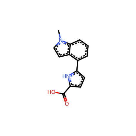 Cn1ccc2c(-c3ccc(C(=O)O)[nH]3)cccc21